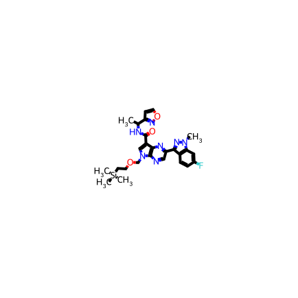 CC(NC(=O)c1cn(COCC[Si](C)(C)C)c2ncc(-c3nn(C)c4cc(F)ccc34)nc12)c1ccon1